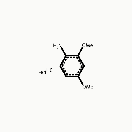 COc1ccc(N)c(OC)c1.Cl.Cl